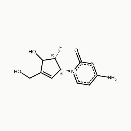 Nc1ccn([C@@H]2C=C(CO)C(O)[C@@H]2F)c(=O)n1